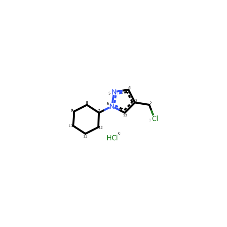 Cl.ClCc1cnn(C2CCCCC2)c1